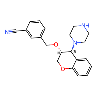 N#Cc1cccc(CO[C@H]2COc3ccccc3[C@@H]2N2CCNCC2)c1